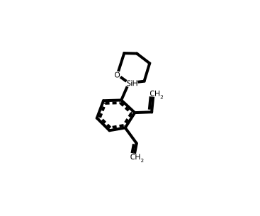 C=Cc1cccc([SiH]2CCCCO2)c1C=C